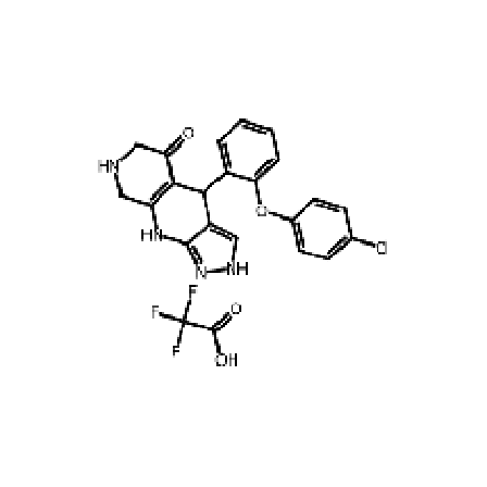 O=C(O)C(F)(F)F.O=C1CNCC2=C1C(c1ccccc1Oc1ccc(Cl)cc1)c1c[nH]nc1N2